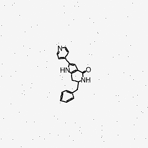 O=C1NC(Cc2ccccc2)Cc2[nH]c(-c3ccncc3)cc21